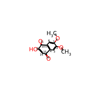 COc1cc2c(cc1OC)C(=O)C(O)=CC2=O